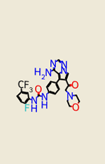 Nc1ncnn2cc(C(=O)CN3CCOCC3)c(-c3ccc(NC(=O)Nc4cc(C(F)(F)F)ccc4F)cc3)c12